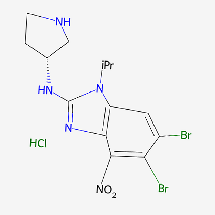 CC(C)n1c(N[C@@H]2CCNC2)nc2c([N+](=O)[O-])c(Br)c(Br)cc21.Cl